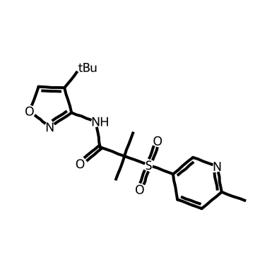 Cc1ccc(S(=O)(=O)C(C)(C)C(=O)Nc2nocc2C(C)(C)C)cn1